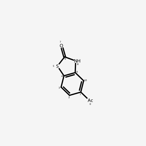 CC(=O)c1ccc2sc(=O)[nH]c2c1